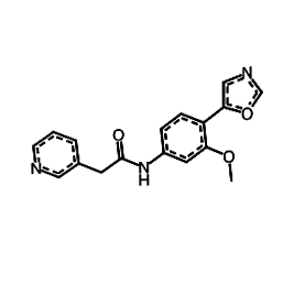 COc1cc(NC(=O)Cc2cccnc2)ccc1-c1cnco1